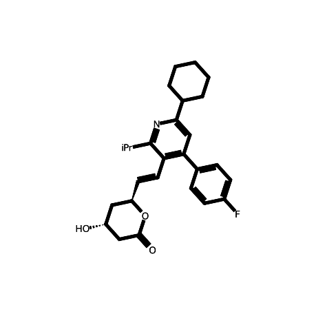 CC(C)c1nc(C2CCCCC2)cc(-c2ccc(F)cc2)c1/C=C/[C@@H]1C[C@@H](O)CC(=O)O1